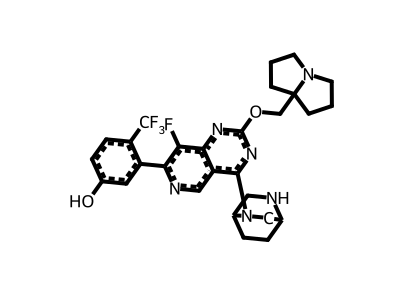 Oc1ccc(C(F)(F)F)c(-c2ncc3c(N4CC5CCC4CN5)nc(OCC45CCCN4CCC5)nc3c2F)c1